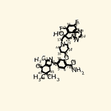 Cc1nn(-c2ccc(C(N)=O)c(OC3CCN(CC(O)(Cn4cncn4)c4ccc(F)cc4F)CC3)c2)c2c1C(=O)CC(C)(C)C2